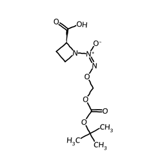 CC(C)(C)OC(=O)OCO/N=[N+](/[O-])N1CC[C@H]1C(=O)O